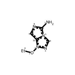 CCOn1ncn2c(N)ncc12